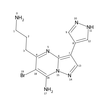 NCCCc1nc2c(-c3cn[nH]c3)cnn2c(N)c1Br